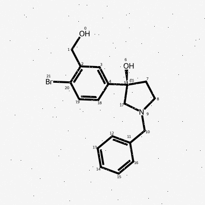 OCc1cc([C@]2(O)CCN(Cc3ccccc3)C2)ccc1Br